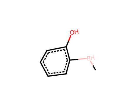 CBc1ccccc1O